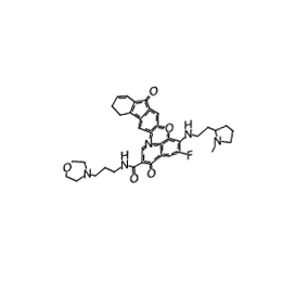 CN1CCCC1CCNc1c(F)cc2c(=O)c(C(=O)NCCCN3CCOCC3)cn3c4cc5c6c(c(=O)c5cc4oc1c23)C=CCC6